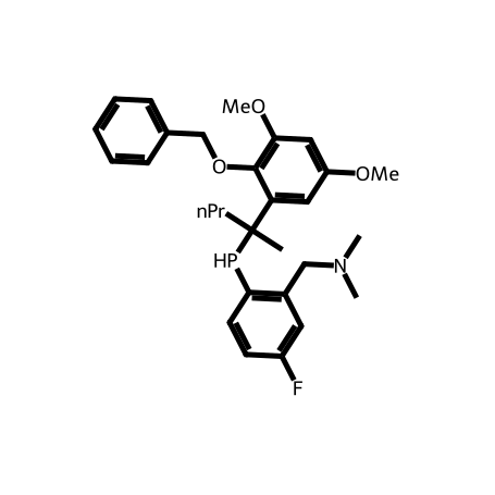 CCCC(C)(Pc1ccc(F)cc1CN(C)C)c1cc(OC)cc(OC)c1OCc1ccccc1